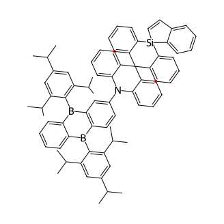 CC(C)c1cc(C(C)C)c(B2c3ccccc3B(c3c(C(C)C)cc(C(C)C)cc3C(C)C)c3cc(N4c5ccccc5C5(c6ccccc64)c4ccccc4[Si]4(C=Cc6ccccc64)c4ccccc45)ccc32)c(C(C)C)c1